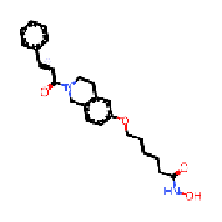 O=C(CCCCCOc1ccc2c(c1)CCN(C(=O)/C=C/c1ccccc1)C2)NO